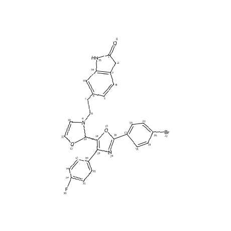 O=C1Cc2ccc(CCN3C=COC3c3oc(-c4ccc(Br)cc4)nc3-c3ccc(F)cc3)cc2N1